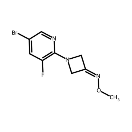 CON=C1CN(c2ncc(Br)cc2F)C1